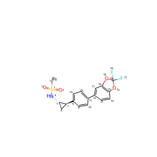 CC(C)S(=O)(=O)N[C@H]1C[C@@H]1c1ccc(-c2ccc3c(c2)OC(F)(F)O3)cc1